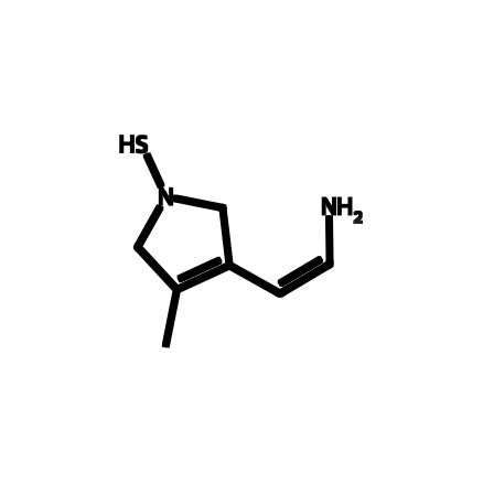 CC1=C(/C=C\N)CN(S)C1